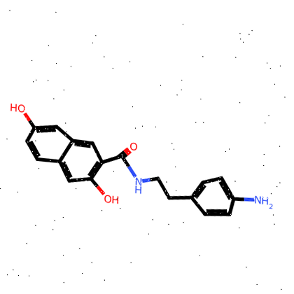 Nc1ccc(CCNC(=O)c2cc3cc(O)ccc3cc2O)cc1